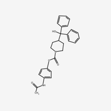 CC(=O)Nc1ccc(OC(=O)N2CCC(C(O)(c3ccccc3)c3ccccc3)CC2)cc1